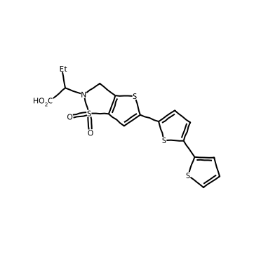 CCC(C(=O)O)N1Cc2sc(-c3ccc(-c4cccs4)s3)cc2S1(=O)=O